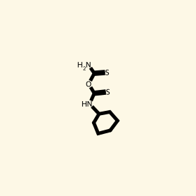 NC(=S)OC(=S)NC1CCCCC1